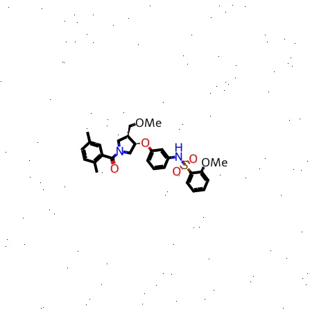 COC[C@@H]1CN(C(=O)c2cc(C)ccc2C)C[C@H]1Oc1cccc(NS(=O)(=O)c2ccccc2OC)c1